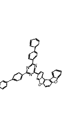 c1ccc(-c2ccc(-c3nc(-c4ccc(-c5ccccc5)cc4)nc(-c4ccc5c(c4)oc4ccc6oc7ccccc7c6c45)n3)cc2)cc1